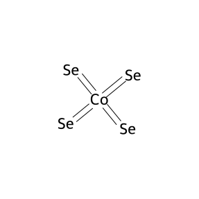 [Se]=[Co](=[Se])(=[Se])=[Se]